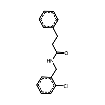 O=C(CCc1ccccc1)NCc1ccccc1Cl